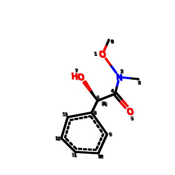 CON(C)C(=O)[C@H](O)c1ccccc1